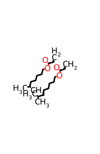 C=CC(=O)OCCCCCC(C)C.C=CC(=O)OCCCCCCC(C)C